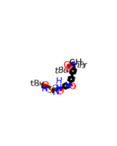 CCCC(c1ccc(-c2ccc(C(=O)N3CCC(C(=O)Nc4ncc(SCc5ncc(C(C)(C)C)o5)s4)CC3)cc2)cc1)N(C)C(=O)OC(C)(C)C